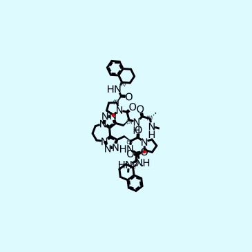 CN[C@@H](C)C(=O)N[C@@H](Cc1nnn2c1-c1c(C[C@H](NC(=O)[C@H](C)NC)C(=O)N3CCC[C@H]3C(=O)N[C@@H]3CCCc4ccccc43)nnn1CCC2)C(=O)N1CCC[C@H]1C(=O)N[C@@H]1CCCc2ccccc21